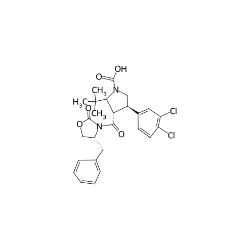 CC(C)(C)C1[C@@H](C(=O)N2C(=O)OC[C@H]2Cc2ccccc2)[C@H](c2ccc(Cl)c(Cl)c2)CN1C(=O)O